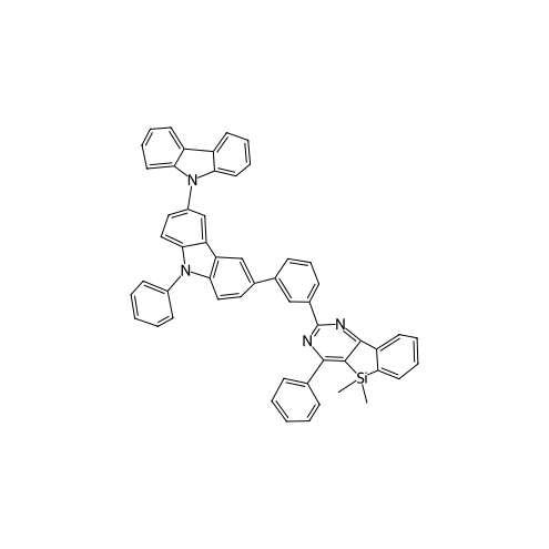 C[Si]1(C)c2ccccc2-c2nc(-c3cccc(-c4ccc5c(c4)c4cc(-n6c7ccccc7c7ccccc76)ccc4n5-c4ccccc4)c3)nc(-c3ccccc3)c21